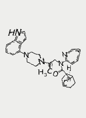 C[C@H](CN(C(=O)[C@@H]1CC2CCC1CC2)c1ccccn1)N1CCN(c2cccc3[nH]ccc23)CC1